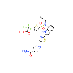 NC(=O)C1CCN(Cc2cnc(-c3cc4cccc(N(CC5CC5)S(=O)(=O)c5cccs5)c4[nH]3)s2)CC1.O=C(O)C(F)(F)F